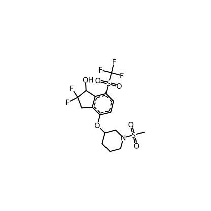 CS(=O)(=O)N1CCCC(Oc2ccc(S(=O)(=O)C(F)(F)F)c3c2CC(F)(F)C3O)C1